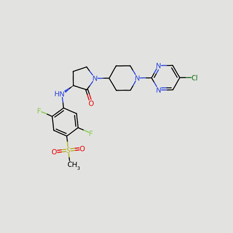 CS(=O)(=O)c1cc(F)c(N[C@H]2CCN(C3CCN(c4ncc(Cl)cn4)CC3)C2=O)cc1F